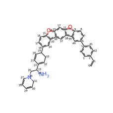 C=Cc1ccc(-c2ccc3oc4cc5oc6ccc(C7C=CC(C(N)CN8C=CC=CC8)=CC7)cc6c5cc4c3c2)cc1